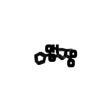 O=C1OCc2ccc(OC(O)c3ccccc3)cc21